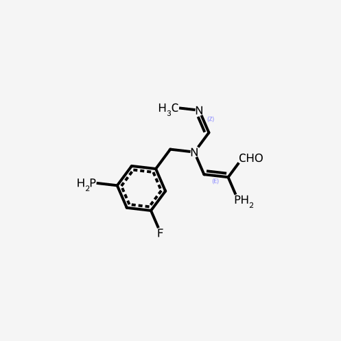 C/N=C\N(/C=C(/P)C=O)Cc1cc(F)cc(P)c1